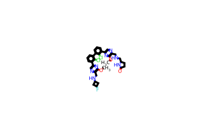 COc1nc(-c2cccc(-c3cccc(-c4cnc(CNC5CC(F)C5)c(OC)n4)c3Cl)c2Cl)cnc1CNCC1CCC(=O)N1